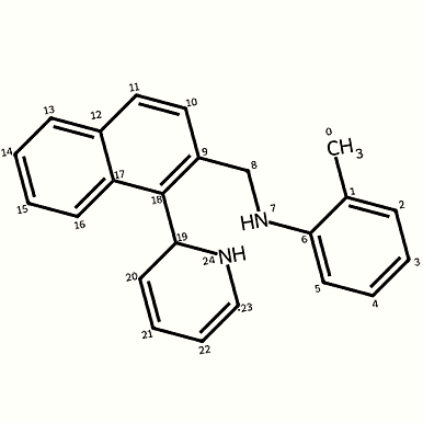 Cc1ccccc1NCc1ccc2ccccc2c1C1C=CC=[C]N1